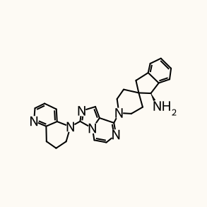 N[C@@H]1c2ccccc2CC12CCN(c1nccn3c(N4CCCc5ncccc54)ncc13)CC2